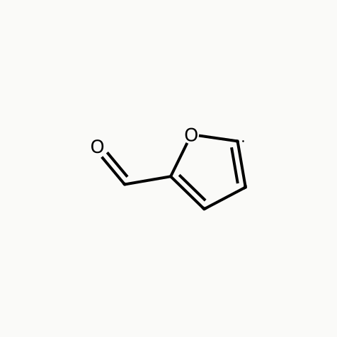 O=Cc1cc[c]o1